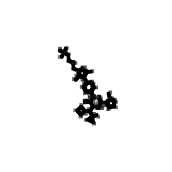 Cc1nn(COCC[Si](C)(C)C)c(C)c1-c1ccc(NC(=O)[C@@H](NC(=O)c2ccnn2C)C(C2CCC2)C2(C)CC2)cn1